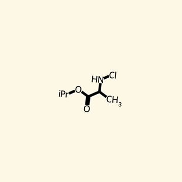 CC(C)OC(=O)C(C)NCl